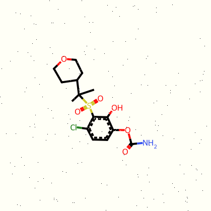 CC(C)(C1CCOCC1)S(=O)(=O)c1c(Cl)ccc(OC(N)=O)c1O